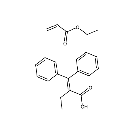 C=CC(=O)OCC.CCC(C(=O)O)=C(c1ccccc1)c1ccccc1